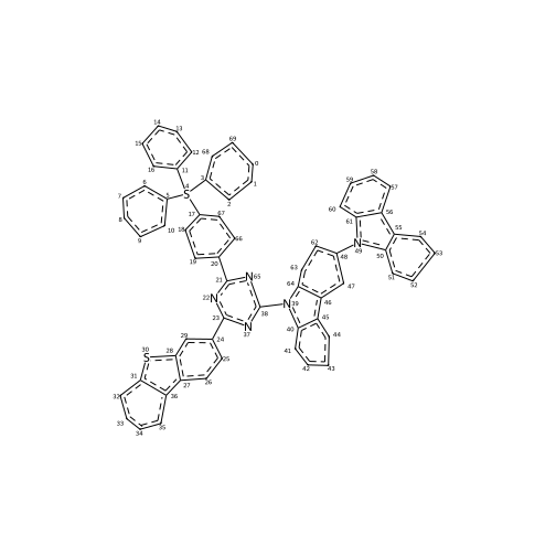 c1ccc(S(c2ccccc2)(c2ccccc2)c2ccc(-c3nc(-c4ccc5c(c4)sc4ccccc45)nc(-n4c5ccccc5c5cc(-n6c7ccccc7c7ccccc76)ccc54)n3)cc2)cc1